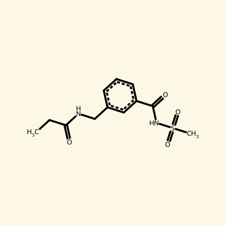 CCC(=O)NCc1cccc(C(=O)NS(C)(=O)=O)c1